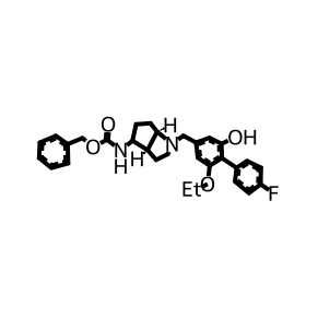 CCOc1cc(CN2CC[C@H]3C(NC(=O)OCc4ccccc4)CC[C@H]32)cc(O)c1-c1ccc(F)cc1